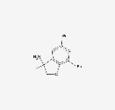 CC(C)c1cc2c(c(C(C)(C)C)n1)OCC2(C)N